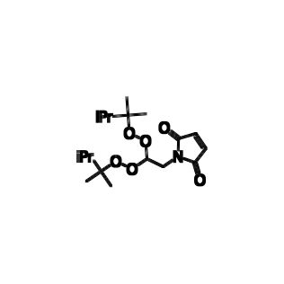 CC(C)C(C)(C)OOC(CN1C(=O)C=CC1=O)OOC(C)(C)C(C)C